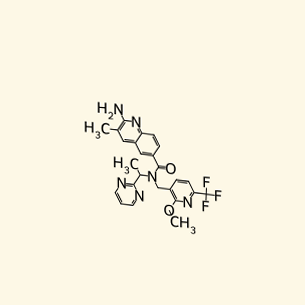 COc1nc(C(F)(F)F)ccc1CN(C(=O)c1ccc2nc(N)c(C)cc2c1)C(C)c1ncccn1